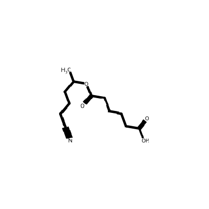 CC(CCCC#N)OC(=O)CCCCC(=O)O